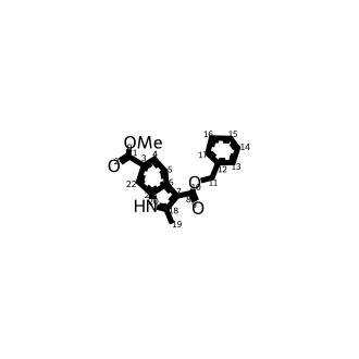 COC(=O)c1ccc2c(C(=O)OCc3ccccc3)c(C)[nH]c2c1